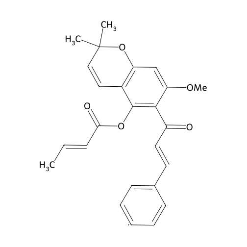 C/C=C/C(=O)Oc1c2c(cc(OC)c1C(=O)/C=C/c1cc[c]cc1)OC(C)(C)C=C2